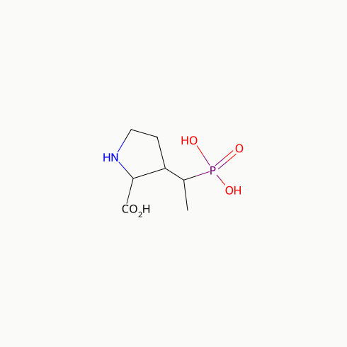 CC(C1CCNC1C(=O)O)P(=O)(O)O